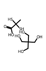 CC(S)(S)C(=O)O.OCC(CO)(CO)CO